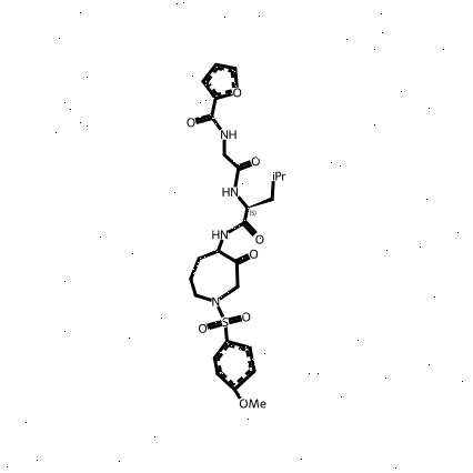 COc1ccc(S(=O)(=O)N2CCCC(NC(=O)[C@H](CC(C)C)NC(=O)CNC(=O)c3ccco3)C(=O)C2)cc1